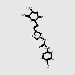 CC1=CC(=O)C(C=CC2CN(NC(=O)Nc3ccc(Br)cc3)CN2)=CC1=O